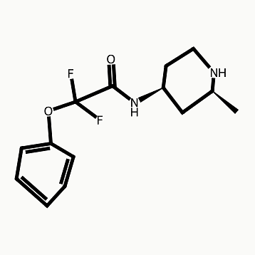 C[C@H]1C[C@@H](NC(=O)C(F)(F)Oc2ccccc2)CCN1